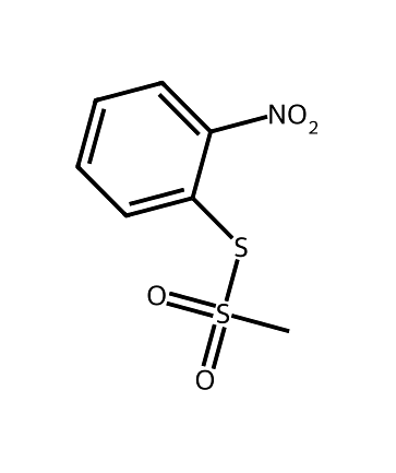 CS(=O)(=O)Sc1ccccc1[N+](=O)[O-]